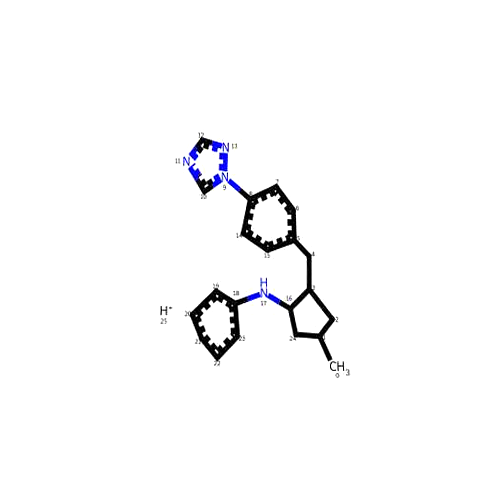 CC1CC(Cc2ccc(-n3cncn3)cc2)C(Nc2ccccc2)C1.[H+]